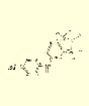 CC1C(C)(C)c2ccc(Nc3ccc(C(C)(C)C)cc3)cc2C1(C)C